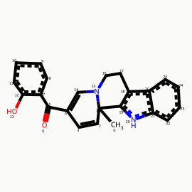 CC12C=CC(C(=O)c3ccccc3O)=CN1CCc1c2[nH]c2ccccc12